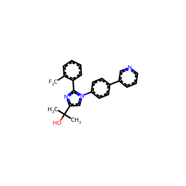 CC(C)(O)c1cn(-c2ccc(-c3cccnc3)cc2)c(-c2ccccc2C(F)(F)F)n1